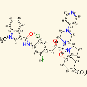 Cn1cc(C(=O)Nc2cc(F)c(CC(=O)C(O[C@H]3CC[C@H](C(=O)O)CC3)(N3CCCC3)N3CCN(c4ccncc4)CC3)cc2Cl)c2ccccc21